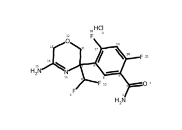 Cl.NC(=O)c1cc(C2(C(F)F)COCC(N)=N2)c(F)cc1F